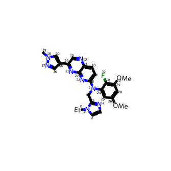 CCn1ccnc1CN(c1ccc2ncc(-c3cnn(C)c3)nc2n1)c1cc(OC)cc(OC)c1F